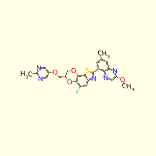 COc1cnc2c(-c3nc4cc(F)c5c(c4s3)OC[C@H](COc3cnc(C)nc3)O5)cc(C)cc2n1